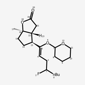 CCCCC(F)CC=C(OC1CCCCO1)[C@H]1CC[C@@]2(C)OC(=O)C[C@H]12